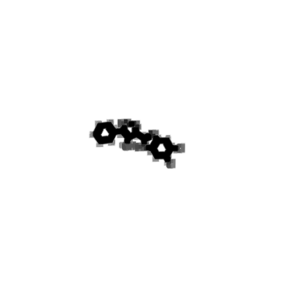 Oc1c(-c2nc3cc(Cl)c(Cl)cc3[nH]2)n[nH]c1-c1ccccc1